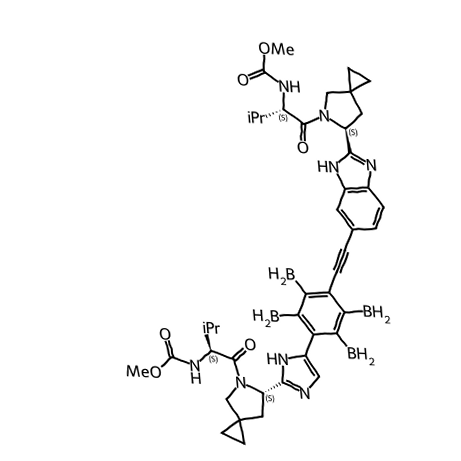 Bc1c(B)c(-c2cnc([C@@H]3CC4(CC4)CN3C(=O)[C@@H](NC(=O)OC)C(C)C)[nH]2)c(B)c(B)c1C#Cc1ccc2nc([C@@H]3CC4(CC4)CN3C(=O)[C@@H](NC(=O)OC)C(C)C)[nH]c2c1